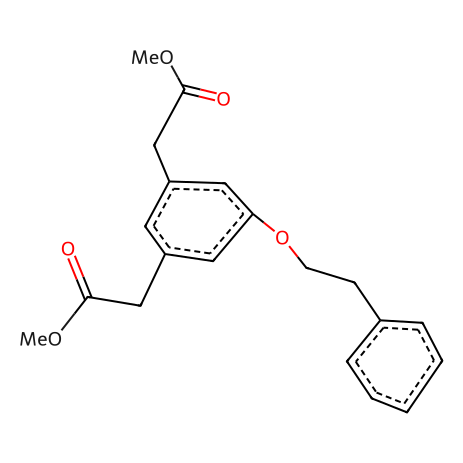 COC(=O)Cc1cc(CC(=O)OC)cc(OCCc2ccccc2)c1